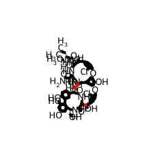 CN[C@H](CC(C)C)C(=O)N[C@H]1C(=O)N[C@@H](CC(N)=O)C(=O)N[C@H]2C(=N)N[C@H]3C(=O)NC[C@H](C(=O)N[C@H](CO)c4cc(O)cc(O)c4-c4cc3ccc4O)[C@H](O)c3ccc(c(Cl)c3)Oc3cc2cc(c3O)Oc2ccc(cc2Cl)[C@H]1O